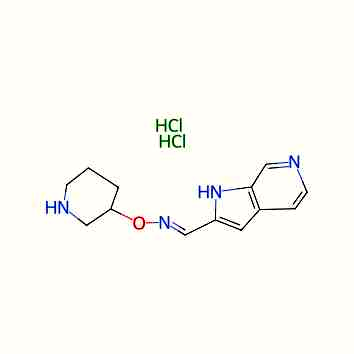 C(=NOC1CCCNC1)c1cc2ccncc2[nH]1.Cl.Cl